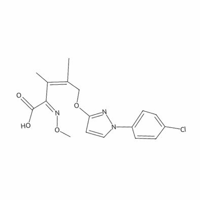 CON=C(C(=O)O)C(C)=C(C)COc1ccn(-c2ccc(Cl)cc2)n1